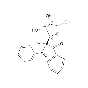 O=C(c1ccccc1)C(O)(C(=O)c1ccccc1)[C@@H]1OC(O)[C@@H](O)[C@H]1O